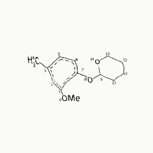 COc1cc(C)ccc1OC1CCCCO1